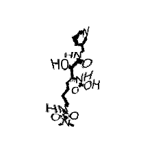 CN(C)S(=O)(=O)NCCCC[C@H](NC(=O)O)C(O)C(=O)NCc1cccnc1